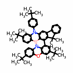 CC(C)(C)c1ccc(N2c3cc(C(C)(C)C)ccc3B3c4c2cc2c(c4-c4cc(C(C)(C)C)cc5c4N3c3ccc(C(C)(C)C)cc3O5)C(C)(C)c3ccccc3-2)cc1